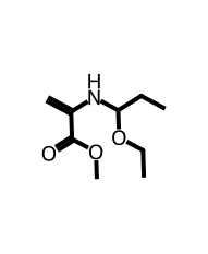 C=C(NC(CC)OCC)C(=O)OC